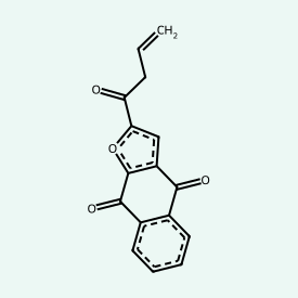 C=CCC(=O)c1cc2c(o1)C(=O)c1ccccc1C2=O